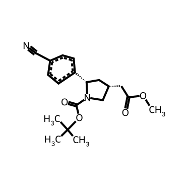 COC(=O)C[C@H]1C[C@@H](c2ccc(C#N)cc2)N(C(=O)OC(C)(C)C)C1